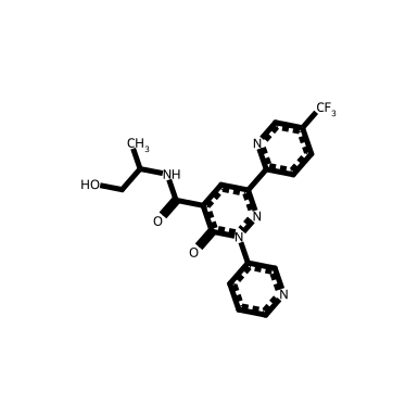 CC(CO)NC(=O)c1cc(-c2ccc(C(F)(F)F)cn2)nn(-c2cccnc2)c1=O